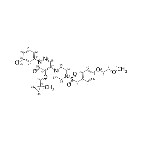 COCCOc1ccc(CS(=O)(=O)N2CCN(c3cnn(-c4cccc(Cl)c4)c(=O)c3OCC3(C)CC3)CC2)cc1